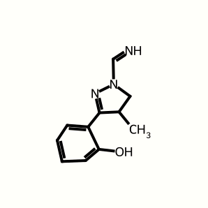 CC1CN(C=N)N=C1c1ccccc1O